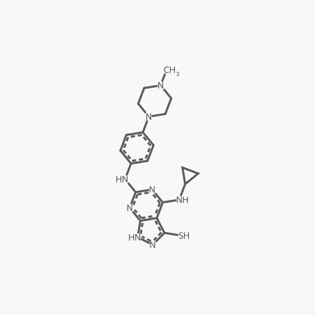 CN1CCN(c2ccc(Nc3nc(NC4CC4)c4c(S)n[nH]c4n3)cc2)CC1